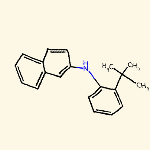 CC(C)(C)c1ccccc1Nc1ccc2ccccc2c1